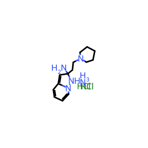 Cl.Cl.N.NC1(CCN2CCCCC2)C=C2C=CC=CN2N1